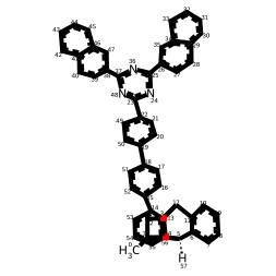 CC1CC2=C1[C@@H]1c3ccccc3C2c2c(-c3ccc(-c4ccc(-c5nc(-c6ccc7ccccc7c6)nc(-c6ccc7ccccc7c6)n5)cc4)cc3)cccc21